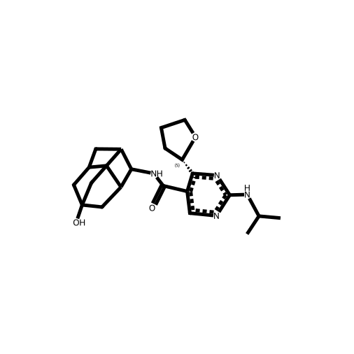 CC(C)Nc1ncc(C(=O)NC2C3CC4CC2CC(O)(C4)C3)c([C@@H]2CCCO2)n1